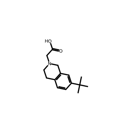 CC(C)(C)c1ccc2c(c1)CN(CC(=O)O)CC2